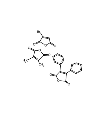 CC1=C(C)C(=O)OC1=O.O=C1C=C(Br)C(=O)O1.O=C1OC(=O)C(c2ccccc2)=C1c1ccccc1